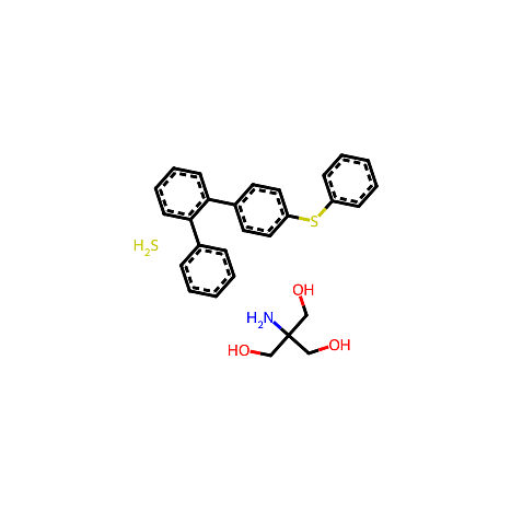 NC(CO)(CO)CO.S.c1ccc(Sc2ccc(-c3ccccc3-c3ccccc3)cc2)cc1